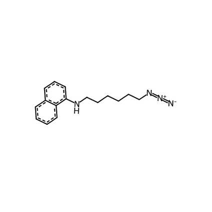 [N-]=[N+]=NCCCCCCNc1cccc2ccccc12